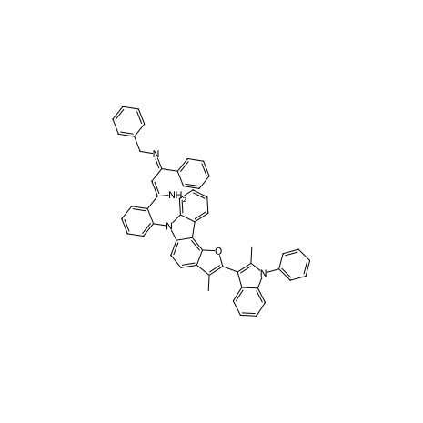 Cc1c(-c2c(C)n(-c3ccccc3)c3ccccc23)oc2c1ccc1c2c2ccccc2n1-c1ccccc1/C(N)=C/C(=N\Cc1ccccc1)c1ccccc1